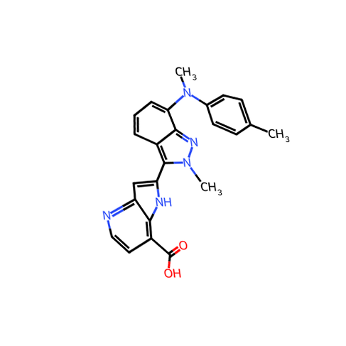 Cc1ccc(N(C)c2cccc3c(-c4cc5nccc(C(=O)O)c5[nH]4)n(C)nc23)cc1